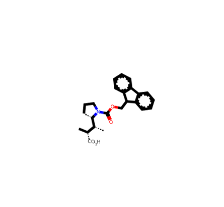 C[C@H]([C@@H](C)C(=O)O)[C@@H]1CCCN1C(=O)OCC1c2ccccc2-c2ccccc21